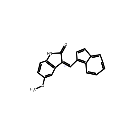 COc1ccc2c(c1)/C(=C/c1ccc3cccccc1-3)C(=O)N2